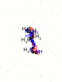 CCc1cc(Nc2ncc(Br)c(Nc3ccc4nccnc4c3P(C)(C)=O)n2)c(OC)cc1N1CCC(N2CCN(C(=O)[C@H]3C[C@H](N(C)c4cccc(C5CCC(=O)NC5=O)c4)C3)CC2)CC1